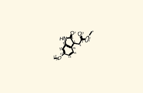 COC(=O)CC1C(=O)Nc2cc(OC)ccc21